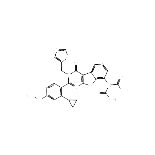 COc1ccc(-c2nc3sc4c(N(C(C)=O)C(C)=O)cccc4c3c(=O)n2Cc2cnco2)c(C2CC2)c1